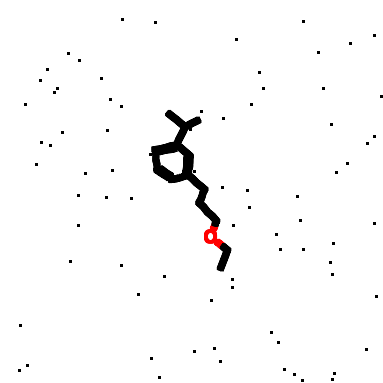 CCOCCCc1cccc(C(C)C)c1